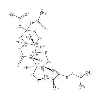 CC(=O)OC1(OC(C)=O)CC[C@@]2(C)[C@@H](CC(=O)[C@@H]3[C@@H]2CC[C@]2(C)[C@@H]([C@H](C)CCCC(C)C)CC[C@@H]32)C1